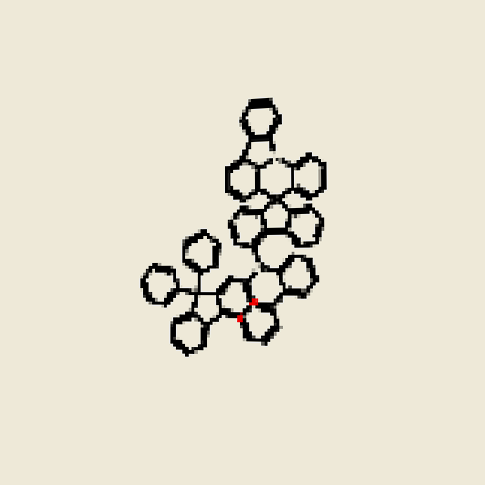 c1ccc(-c2ccccc2N(c2ccc3c(c2)C(c2ccccc2)(c2ccccc2)c2ccccc2-3)c2cccc3c2-c2ccccc2C32c3ccccc3-n3c4ccccc4c4cccc2c43)cc1